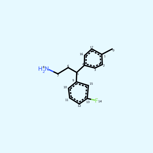 Cc1ccc(C(CCN)c2cccc(F)c2)cc1